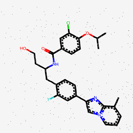 Cc1cccn2cc(-c3ccc(CC(CCO)NC(=O)c4ccc(OC(C)C)c(Cl)c4)c(F)c3)nc12